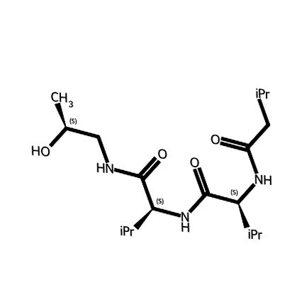 CC(C)CC(=O)N[C@H](C(=O)N[C@H](C(=O)NC[C@H](C)O)C(C)C)C(C)C